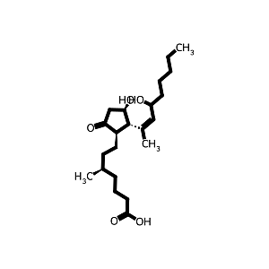 CCCCCC(O)/C=C(/C)[C@H]1[C@H](O)CC(=O)[C@@H]1CC[C@H](C)CCCC(=O)O